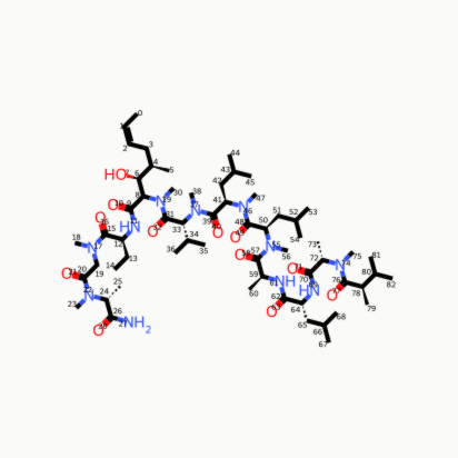 C/C=C\C[C@@H](C)[C@H](O)C(C(=O)N[C@@H](CC)C(=O)N(C)CC(=O)N(C)[C@H](C)C(N)=O)N(C)C(=O)[C@@H](C(C)C)N(C)C(=O)[C@@H](CC(C)C)N(C)C(=O)[C@@H](CC(C)C)N(C)C(=O)[C@H](C)NC(=O)[C@@H](CC(C)C)NC(=O)[C@H](C)N(C)C(=O)[C@H](C)C(C)C